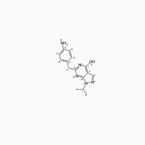 CC(C)n1ncc2c(O)nc(Cc3ccc(N)cc3)nc21